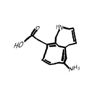 Nc1ccc(C(=O)O)c2[nH]ccc12